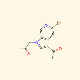 CC(=O)Cn1cc(C(C)=O)c2cc(Br)ncc21